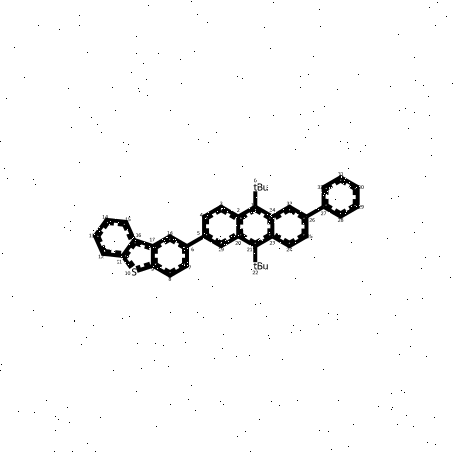 CC(C)(C)c1c2ccc(-c3ccc4sc5ccccc5c4c3)cc2c(C(C)(C)C)c2ccc(-c3ccccc3)cc12